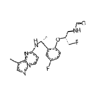 Cc1cnn2ccc(N[C@H](C)c3cc(F)ccc3O[C@@H](CF)CNC=O)nc12